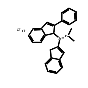 C[SiH](C)[Zr+2]([C]1=Cc2ccccc2C1)[CH]1C(c2ccccc2)=Cc2ccccc21.[Cl-].[Cl-]